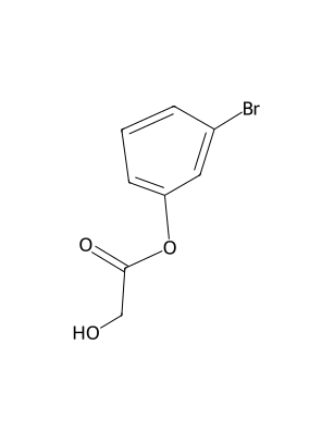 O=C(CO)Oc1cccc(Br)c1